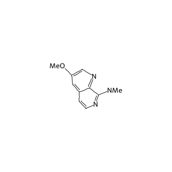 CNc1nccc2cc(OC)cnc12